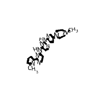 Cc1cccc(-c2nccc(Nc3ccnc(Nc4ccc(N5CCN(C)CC5)cn4)n3)n2)n1